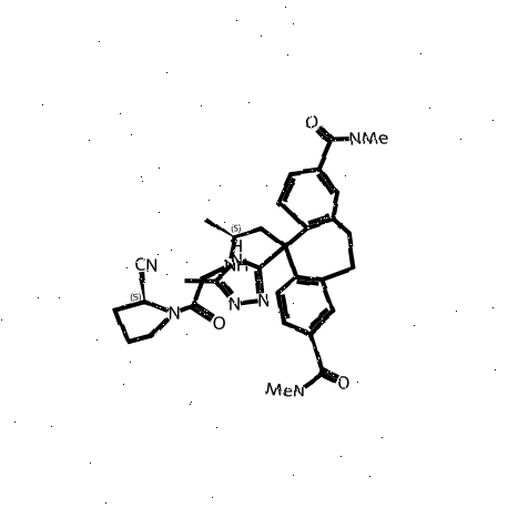 CNC(=O)c1ccc2c(c1)CCc1cc(C(=O)NC)ccc1C2(C[C@H](C)NCC(=O)N1CCC[C@H]1C#N)c1nnc(C)[nH]1